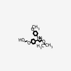 COc1ccc(-n2nc(OC(C)C)cc2-c2ccc(OCCO)cc2)cc1